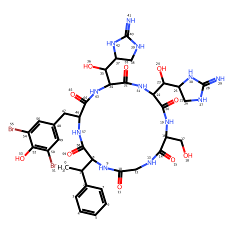 CC(c1ccccc1)C1NC(=O)CNC(=O)C(CO)NC(=O)C(C(O)C2CNC(=N)N2)NC(=O)C(C(O)C2CNC(=N)N2)NC(=O)C(Cc2cc(Br)c(O)c(Br)c2)NC1=O